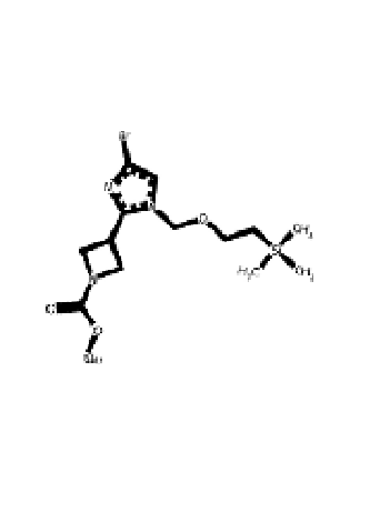 CC(C)(C)OC(=O)N1CC(c2nc(Br)cn2COCC[Si](C)(C)C)C1